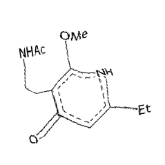 CCc1cc(=O)c(CNC(C)=O)c(OC)[nH]1